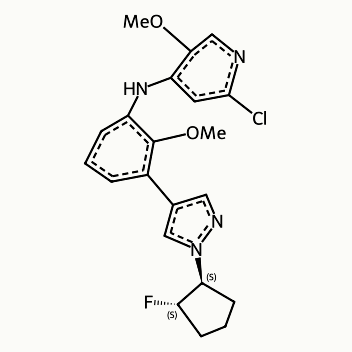 COc1cnc(Cl)cc1Nc1cccc(-c2cnn([C@H]3CCC[C@@H]3F)c2)c1OC